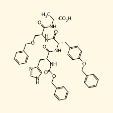 C[C@@H](NC(=O)[C@H](COCc1ccccc1)NC(=O)[C@H](Cc1ccc(OCc2ccccc2)cc1)NC(=O)[C@H](Cc1c[nH]cn1)NC(=O)OCc1ccccc1)C(=O)O